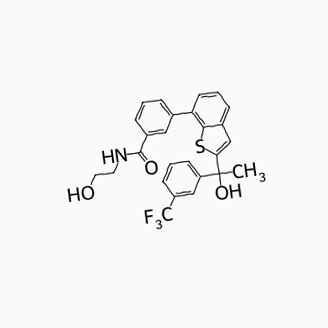 CC(O)(c1cccc(C(F)(F)F)c1)c1cc2cccc(-c3cccc(C(=O)NCCO)c3)c2s1